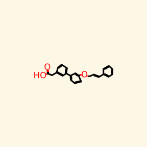 O=C(O)Cc1cccc(-c2cccc(OCC=Cc3ccccc3)c2)c1